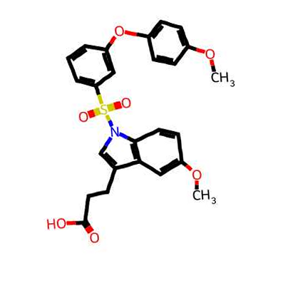 COc1ccc(Oc2cccc(S(=O)(=O)n3cc(CCC(=O)O)c4cc(OC)ccc43)c2)cc1